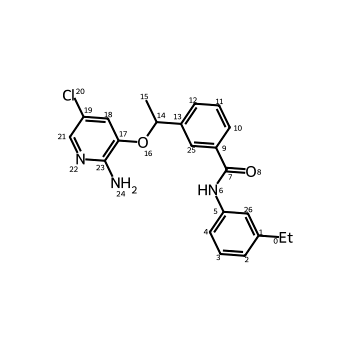 CCc1cccc(NC(=O)c2cccc(C(C)Oc3cc(Cl)cnc3N)c2)c1